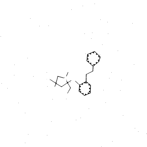 CCC1(Oc2ccccc2CCc2ccccc2)CC(O)(Cl)CN1C